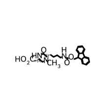 CN1C[C@H](CC(=O)O)NC(=O)[C@@H]1CCCCNC(=O)OCC1c2ccccc2-c2ccccc21